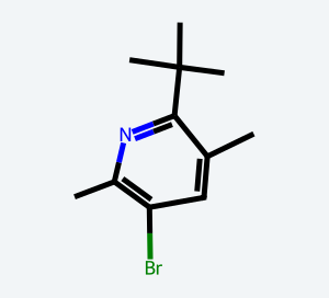 Cc1cc(Br)c(C)nc1C(C)(C)C